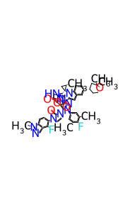 Cc1cc(-n2nc3c(c2-n2ccn(-c4ccc5c(cnn5C)c4F)c2=O)C2CCC(C3)N2C(=O)c2cc3cc([C@H]4CCOC(C)(C)C4)ccc3n2[C@@]2(c3noc(=O)[nH]3)C[C@@H]2C)cc(C)c1F